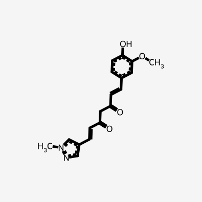 COc1cc(/C=C/C(=O)CC(=O)/C=C/c2cnn(C)c2)ccc1O